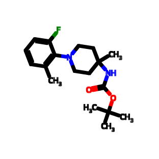 Cc1cccc(F)c1N1CCC(C)(NC(=O)OC(C)(C)C)CC1